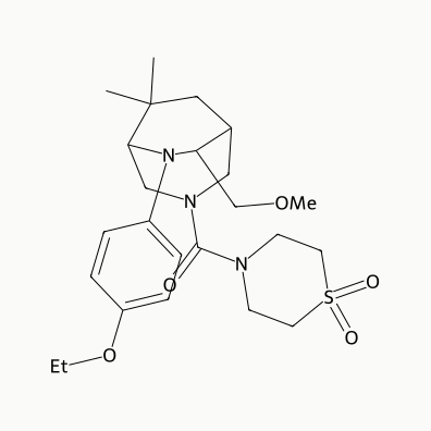 CCOc1ccc(N2C(COC)C3CN(C(=O)N4CCS(=O)(=O)CC4)CC2C(C)(C)C3)cc1